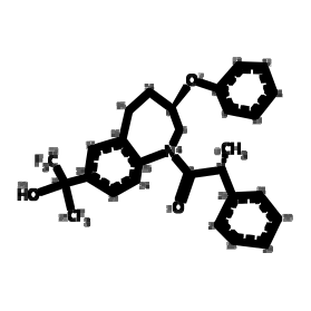 C[C@@H](C(=O)N1C[C@H](Oc2ccccc2)CCc2cc(C(O)(C(F)(F)F)C(F)(F)F)ccc21)c1ccccc1